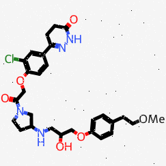 COCCc1ccc(OCC(O)CNC2CCN(C(=O)COc3ccc(C4=NNC(=O)CC4)cc3Cl)C2)cc1